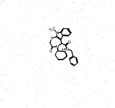 Cn1c2c(c3ccccc31)C(C(=O)NCc1ccccc1)N(C1CCCCC1)C(=O)CS2